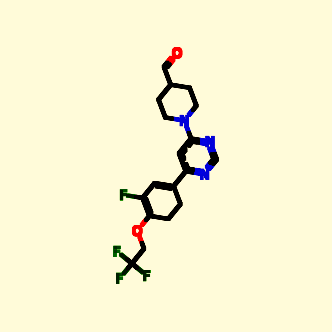 O=CC1CCN(c2cc(C3=CC(F)=C(OCC(F)(F)F)CC3)ncn2)CC1